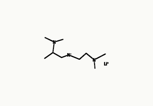 CC(C[N-]CCN(C)C)N(C)C.[Li+]